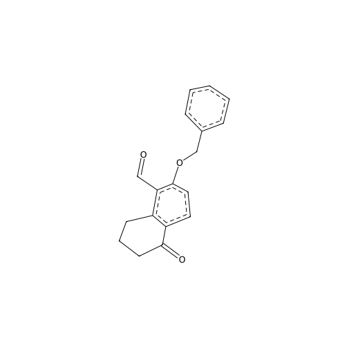 O=Cc1c(OCc2ccccc2)ccc2c1CCCC2=O